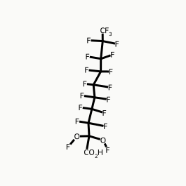 O=C(O)C(OF)(OF)C(F)(F)C(F)(F)C(F)(F)C(F)(F)C(F)(F)C(F)(F)C(F)(F)C(F)(F)F